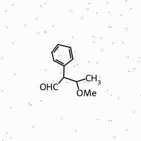 COC(C)C(C=O)c1ccccc1